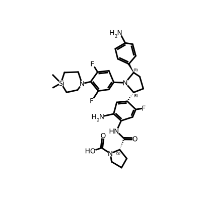 C[Si]1(C)CCN(c2c(F)cc(N3[C@@H](c4ccc(N)cc4)CC[C@@H]3c3cc(N)c(NC(=O)[C@@H]4CCCN4C(=O)O)cc3F)cc2F)CC1